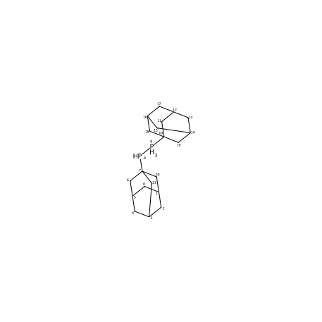 C1C2CC3CC1CC(P[PH3]C14CC5CC(CC(C5)C1)C4)(C2)C3